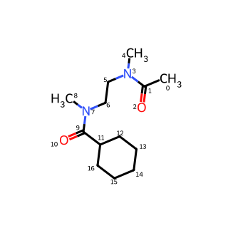 CC(=O)N(C)CCN(C)C(=O)C1CCCCC1